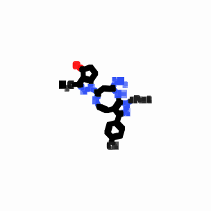 CCCCCn1nc(-c2ccc(C#N)cc2)c2ccnc(-n3nc(C)c4c3CCC4=O)cc(N)[nH]c21